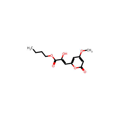 CCCCOC(=O)C(O)=Cc1cc(OC)cc(=O)o1